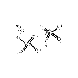 [KH].[KH].[O]=[Cr](=[O])([OH])[OH].[O]=[Mn](=[O])(=[O])[OH]